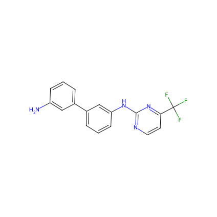 Nc1cccc(-c2cccc(Nc3nccc(C(F)(F)F)n3)c2)c1